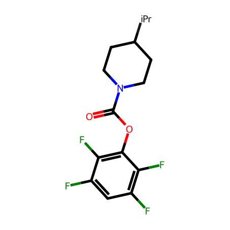 CC(C)C1CCN(C(=O)Oc2c(F)c(F)cc(F)c2F)CC1